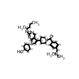 CCC[C@H](C)Nc1ncc2c(C3CCN(C(=O)c4ccc(CN(C)C)cc4)CC3)cn([C@H]3CC[C@H](O)CC3)c2n1